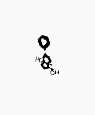 C[C@]12CC[C@H](c3ccccc3)C[C@@]1(O)CC[C@@H]2CO